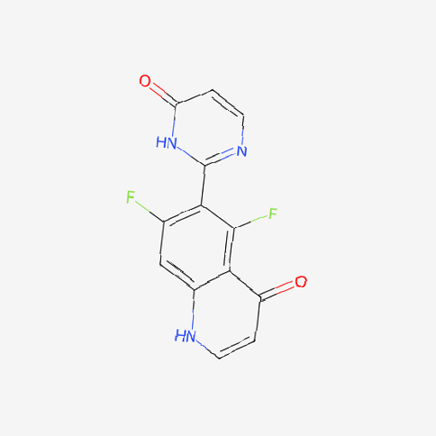 O=c1ccnc(-c2c(F)cc3[nH]ccc(=O)c3c2F)[nH]1